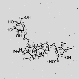 CCC[C@@H](C)[C@H]1CC[C@H]2[C@@H]3CC[C@@H]4C[C@H](O[C@@H]5OC(CO)[C@@H](O)C(O)[C@@H]5O)CC[C@]4(C)[C@H]3C[C@H](OCCO[C@@H]3OC(CO)[C@@H](O)C(O)[C@@H]3O)[C@]12C